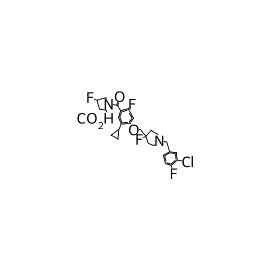 O=C(O)C1CC(F)CN1C(=O)c1cc(C2CC2)c(OCC2(F)CCN(Cc3ccc(F)c(Cl)c3)CC2)cc1F